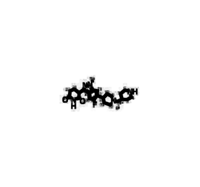 C[C@@H](C1CCNCC1)N1CCC(c2cc3c(cc2F)c(C2CCC(=O)NC2=O)nn3C)CC1